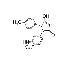 Cc1ccc(C2C(O)=[C]C(=O)N2c2ccc3cn[nH]c3c2)cc1